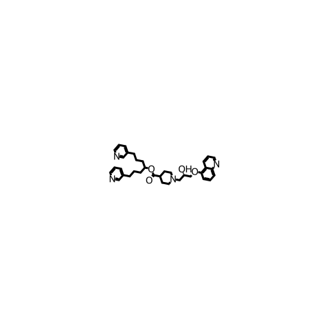 O=C(OC(CCCc1cccnc1)CCCc1cccnc1)C1CCN(C[C@H](O)COc2cccc3ncccc23)CC1